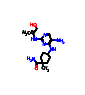 C[C@@H](CO)Nc1ncc(N)c(NC2CCC(C)(C(N)=O)CC2)n1